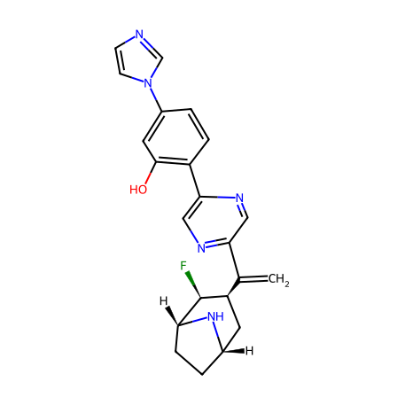 C=C(c1cnc(-c2ccc(-n3ccnc3)cc2O)cn1)[C@H]1C[C@@H]2CC[C@@H](N2)[C@H]1F